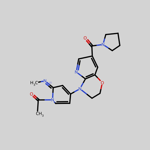 C/N=c1/cc(N2CCOc3cc(C(=O)N4CCCC4)cnc32)ccn1C(C)=O